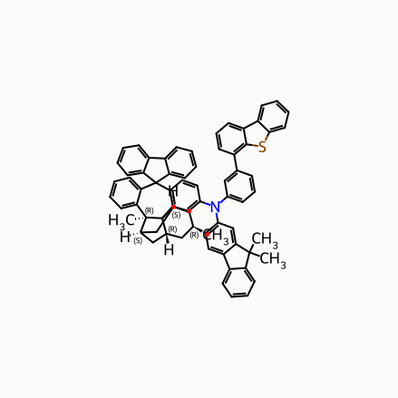 C[C@H]1C[C@@H]2C[C@@H]3C[C@H](C1)C21c2cc(N(c4cccc(-c5cccc6c5sc5ccccc56)c4)c4ccc5c(c4)C(C)(C)c4ccccc4-5)ccc2C2(c4ccccc4-c4ccccc42)c2ccccc2[C@]31C